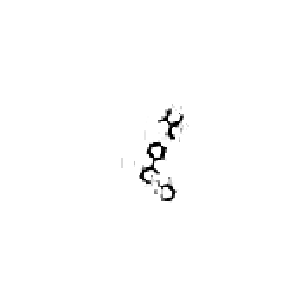 CC1=C(c2ccc(NC(=O)c3c(Cl)cncc3Cl)cc2)CN(c2ncccc2F)CC1